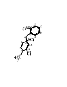 [CH2]C1C=CC(Cl)(Cc2ccccc2Cl)C=C1Cl